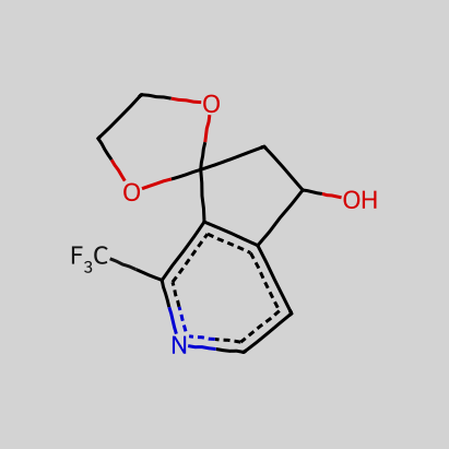 OC1CC2(OCCO2)c2c1ccnc2C(F)(F)F